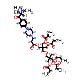 C=CC(=O)OCC(COCC(COC(=O)C=C)(COC(=O)C=C)COC(=O)CCN1CCN(c2ccc(C(=O)C(CC)(CC)N(C)C)cc2)CC1)(COC(=O)C=C)COC(=O)C=C